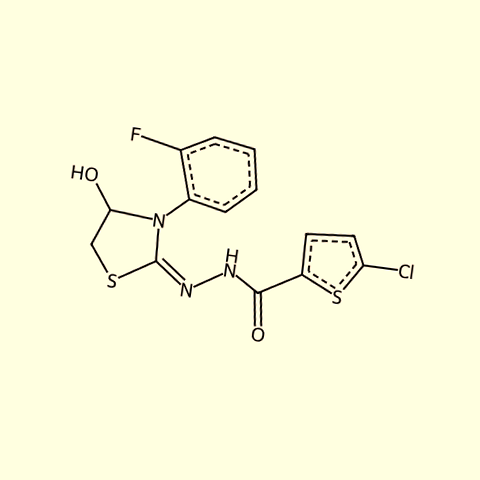 O=C(N/N=C1/SCC(O)N1c1ccccc1F)c1ccc(Cl)s1